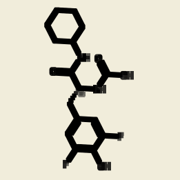 O=C(O)N[C@H](Cc1cc(F)c(O)c(F)c1)C(=O)NC1CCCCC1